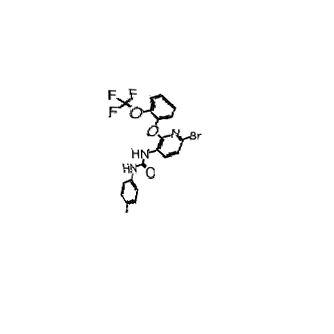 Cc1ccc(NC(=O)Nc2ccc(Br)nc2Oc2ccccc2OC(F)(F)F)cc1